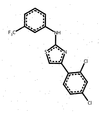 FC(F)(F)c1cccc(Nc2nc(-c3ccc(Cl)cc3Cl)cs2)c1